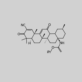 C=C(N[C@]12CC[C@H](C)CC1C1C(=O)C=C3[C@@]4(C)C=C(C#N)C(=O)C(C)(C)[C@@H]4CC[C@@]3(C)[C@]1(C)CC2)OC(C)C